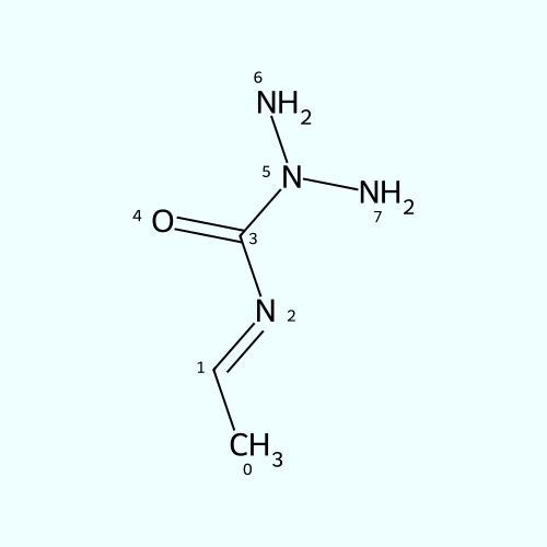 CC=NC(=O)N(N)N